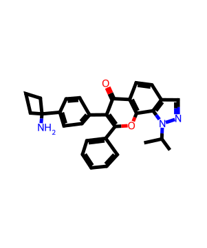 CC(C)n1ncc2ccc3c(=O)c(-c4ccc(C5(N)CCC5)cc4)c(-c4ccccc4)oc3c21